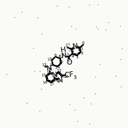 Cc1ccc(C(=O)N[C@H]2CC[C@@H](N(C)c3cccc4nc(C(F)(F)F)cn34)CC2)c(C)n1